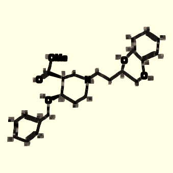 COC(=O)[C@H]1CN(CCC2COc3ccccc3O2)CC[C@H]1OCc1ccccc1